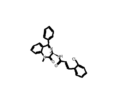 CN1C(=O)[C@H](NC(=O)C=Cc2ccccc2Cl)N=C(c2ccccc2)c2ccccc21